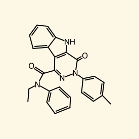 CCN(C(=O)c1nn(-c2ccc(C)cc2)c(=O)c2[nH]c3ccccc3c12)c1ccccc1